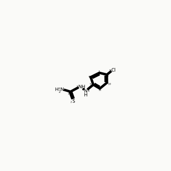 NC(=S)NNc1ccc(Cl)cc1